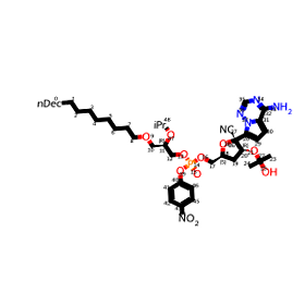 CCCCCCCCCCCCCCCCCCOC[C@H](COP(=O)(OC[C@@H]1C[C@@H](OC(C)(C)O)[C@](C#N)(c2ccc3c(N)ncnn23)O1)Oc1ccc([N+](=O)[O-])cc1)OC(C)C